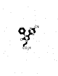 N#Cc1cnc(C2CN(CCC(=O)O)C(=O)N2c2ccccc2)cn1